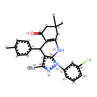 Cc1ccc(C2C3=C(CC(C)(C)CC3=O)Nc3c2c(C(C)(C)C)nn3-c2cccc(F)c2)cc1